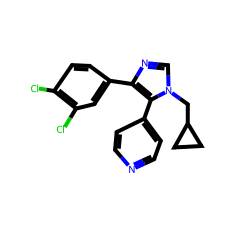 Clc1ccc(-c2ncn(CC3CC3)c2-c2ccncc2)cc1Cl